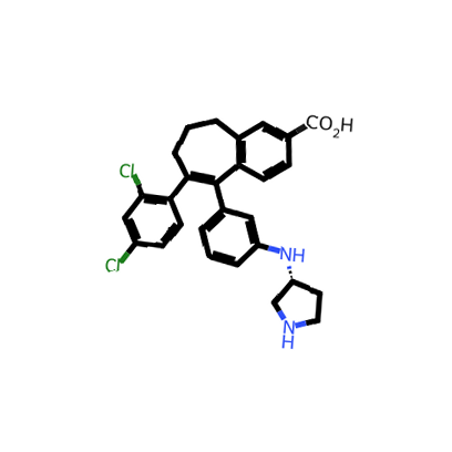 O=C(O)c1ccc2c(c1)CCCC(c1ccc(Cl)cc1Cl)=C2c1cccc(N[C@@H]2CCNC2)c1